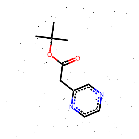 CC(C)(C)OC(=O)Cc1cnccn1